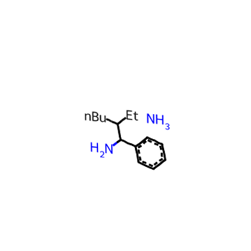 CCCCC(CC)C(N)c1ccccc1.N